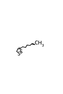 CC=CCCCC[C@@H]1CCSS1